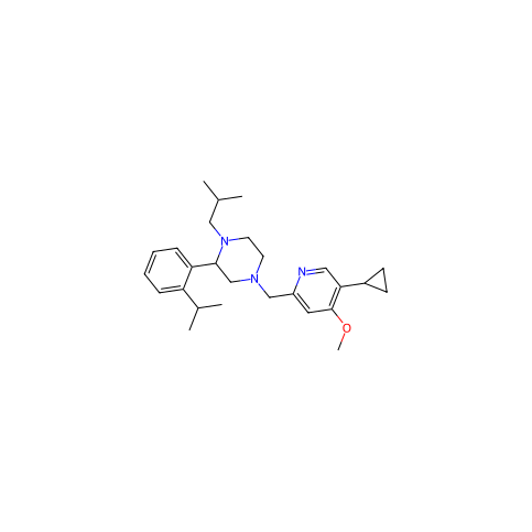 COc1cc(CN2CCN(CC(C)C)C(c3ccccc3C(C)C)C2)ncc1C1CC1